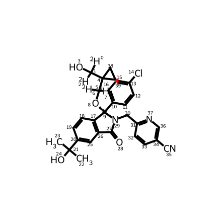 [2H]C([2H])(O)C1(C([2H])([2H])O[C@]2(c3ccc(Cl)cc3)c3ccc(C(C)(C)O)cc3C(=O)N2Cc2ccc(C#N)cn2)CC1